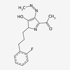 C/N=N\C1=C(O)C(CCCc2ccccc2F)N=C1C(C)=O